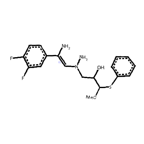 COC(Sc1ccccc1)C(O)CN(N)/C=C(\N)c1ccc(F)c(F)c1